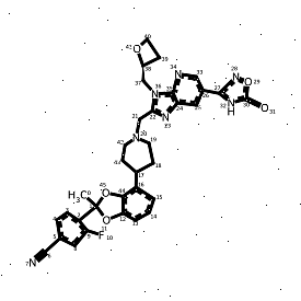 CC1(c2ccc(C#N)cc2F)Oc2cccc(C3CCN(Cc4nc5cc(-c6noc(=O)[nH]6)cnc5n4C[C@@H]4CCO4)CC3)c2O1